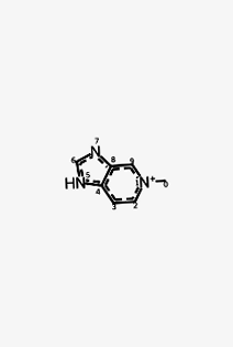 C[n+]1ccc2[nH]cnc2c1